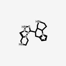 C1=C2CNCCN2N2C(C3Cc4cccn4C4CCNCC34)SNN12